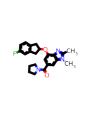 Cc1nc2c(OC3Cc4ccc(F)cc4C3)cc(C(=O)N3CCCC3)cc2n1C